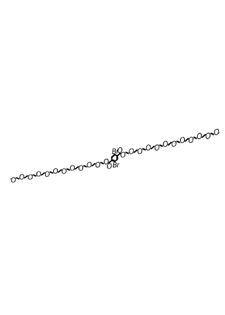 COCCOCCOCCOCCOCCOCCOCCOCCOCCOCCOCCOC(=O)c1cc(Br)c(C(=O)OCCOCCOCCOCCOCCOCCOCCOCCOCCOCCOCCOC)cc1Br